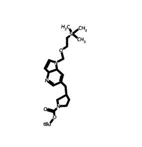 CC(C)(C)OC(=O)N1CCC(CC2=CC3C(C=CN3COCC[Si](C)(C)C)N=C2)C1